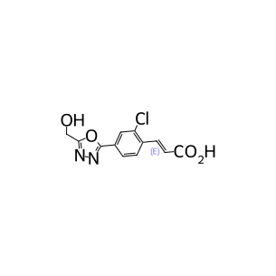 O=C(O)/C=C/c1ccc(-c2nnc(CO)o2)cc1Cl